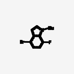 C[CH]C(C)n1ccc2c(Br)ccc(F)c21